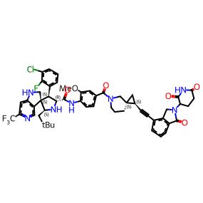 COc1cc(C(=O)N2CCC[C@@]3(C[C@H]3C#Cc3cccc4c3CN(C3CCC(=O)NC3=O)C4=O)C2)ccc1NC(=O)[C@@H]1N[C@@H](CC(C)(C)C)[C@@]2(CNc3cc(C(F)(F)F)ncc32)[C@H]1c1cccc(Cl)c1F